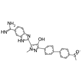 Cn1nc(-c2ccc(-c3ccc([S+](C)[O-])cc3)cc2)c(O)c1-c1nc2ccc(C(=N)N)cc2[nH]1